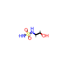 [NH]S(=O)(=O)NCCO